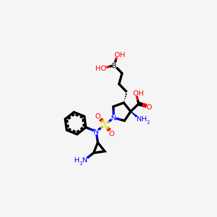 NC1CC1N(c1ccccc1)S(=O)(=O)N1C[C@H](CCCB(O)O)[C@](N)(C(=O)O)C1